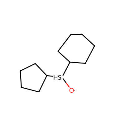 [O][SiH](C1CCCCC1)C1CCCC1